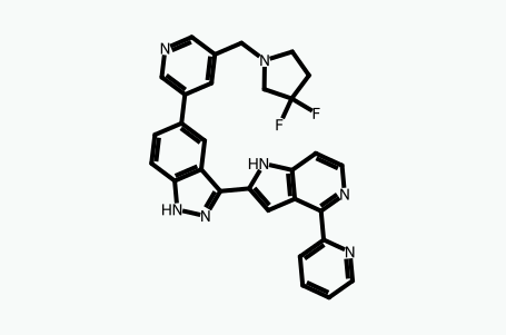 FC1(F)CCN(Cc2cncc(-c3ccc4[nH]nc(-c5cc6c(-c7ccccn7)nccc6[nH]5)c4c3)c2)C1